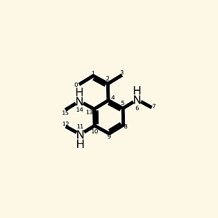 C/C=C(/C)c1c(NC)ccc(NC)c1NC